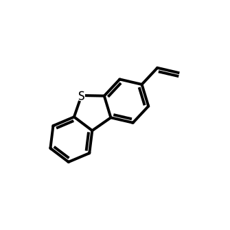 C=Cc1ccc2c(c1)sc1ccccc12